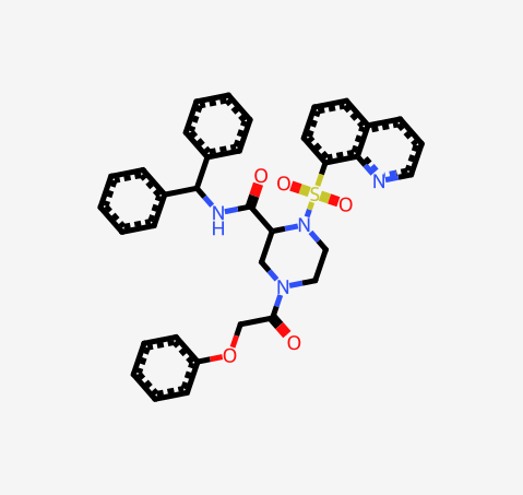 O=C(NC(c1ccccc1)c1ccccc1)C1CN(C(=O)COc2ccccc2)CCN1S(=O)(=O)c1cccc2cccnc12